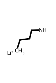 CCCC[NH-].[Li+]